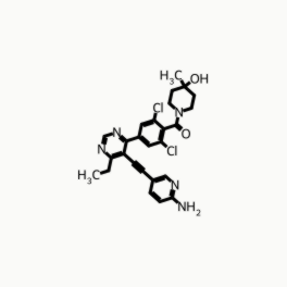 CCc1ncnc(-c2cc(Cl)c(C(=O)N3CCC(C)(O)CC3)c(Cl)c2)c1C#Cc1ccc(N)nc1